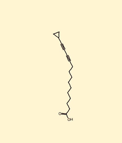 O=C(O)CCCCCCCCCC#CC#CC1CC1